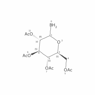 BC1O[C@@H](COC(C)=O)[C@H](OC(C)=O)[C@@H](OC(C)=O)[C@@H]1OC(C)=O